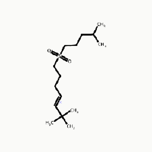 CC(C)CCCS(=O)(=O)CCC/C=C/C(C)(C)C